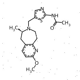 COc1ccc2c(n1)CCN(Cc1cnc(NC(C)=O)s1)[C@H](C)C2